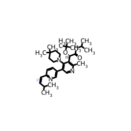 Cc1ncc(-c2ccc(/C=C\C(C)C)nc2)c(N2CCC(C)(C)CC2)c1[C@H](OC(C)(C)C)C(=O)OC(C)C